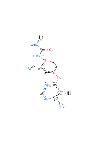 CCNC(=O)Nc1ccc(Oc2ncnc(N)c2C=O)cc1Cl